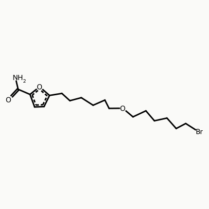 NC(=O)c1ccc(CCCCCCOCCCCCCBr)o1